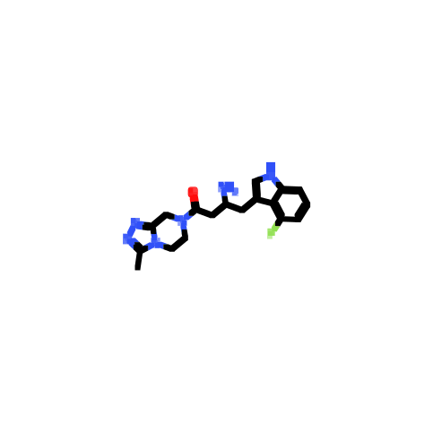 Cc1nnc2n1CCN(C(=O)CC(N)Cc1c[nH]c3cccc(F)c13)C2